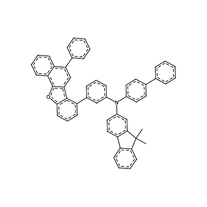 CC1(C)c2ccccc2-c2ccc(N(c3ccc(-c4ccccc4)cc3)c3cccc(-c4cccc5oc6c7ccccc7c(-c7ccccc7)cc6c45)c3)cc21